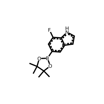 CC1(C)OB(c2cc(F)c3[nH]ccc3c2)OC1(C)C